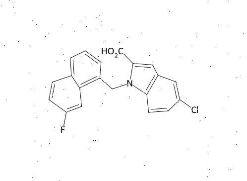 O=C(O)c1cc2cc(Cl)ccc2n1Cc1cccc2ccc(F)cc12